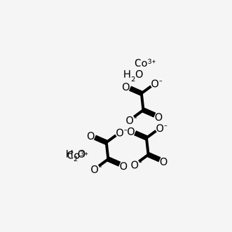 O.O.O=C([O-])C(=O)[O-].O=C([O-])C(=O)[O-].O=C([O-])C(=O)[O-].[Co+3].[Co+3]